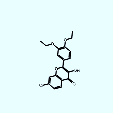 CCOc1ccc(-c2oc3cc(Cl)ccc3c(=O)c2O)cc1OCC